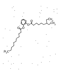 CCCCCCCCCCC(=O)Oc1ccccc1OC(=O)CCCCCC(CC)CC